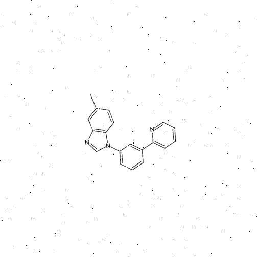 Ic1ccc2c(c1)ncn2-c1cccc(-c2ccccn2)c1